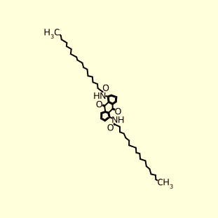 CCCCCCCCCCCCCCCCCC(=O)Nc1cccc2c1C(=O)c1cccc(NC(=O)CCCCCCCCCCCCCCCCC)c1C2=O